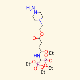 CCOP(=O)(OCC)C(NC(=O)CCC(=O)OCCN1CCN(N)CC1)P(=O)(OCC)OCC